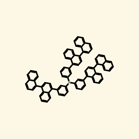 c1cc(-c2ccc(-c3cccc4ccccc34)c3ccccc23)cc(N(c2cccc(-c3ccc(-c4cccc5ccccc45)c4ccccc34)c2)c2cccc(-c3ccc(-c4cccc5ccccc45)c4ccccc34)c2)c1